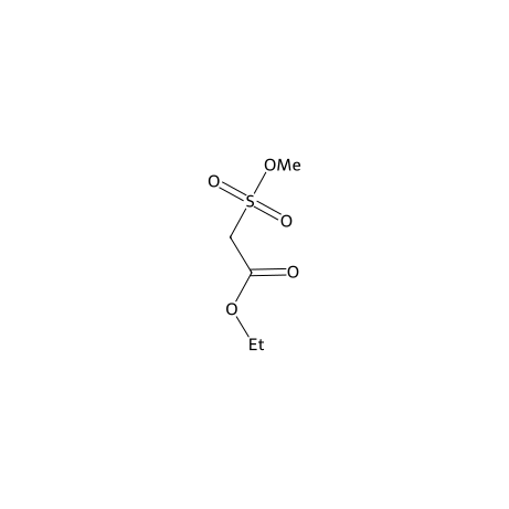 CCOC(=O)CS(=O)(=O)OC